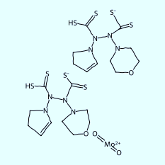 S=C(S)N(N1C=CCC1)N(C(=S)[S-])N1CCOCC1.S=C(S)N(N1C=CCC1)N(C(=S)[S-])N1CCOCC1.[O]=[Mo+2]=[O]